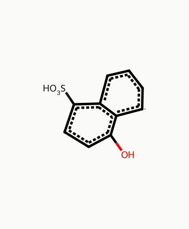 O=S(=O)(O)c1ccc(O)c2[c]cccc12